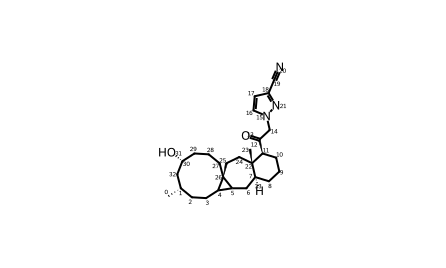 C[C@H]1CCC2C3C[C@@H]4CCC[C@H](C(=O)Cn5ccc(C#N)n5)[C@@]4(C)CC[C@]23CCC[C@@H](O)C1